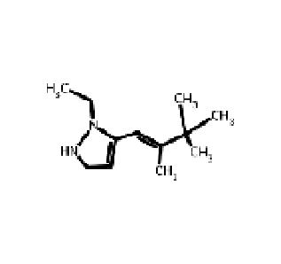 CCN1NCC=C1/C=C(\C)C(C)(C)C